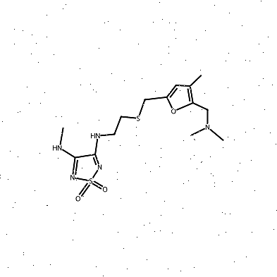 CNC1=NS(=O)(=O)N=C1NCCSCc1cc(C)c(CN(C)C)o1